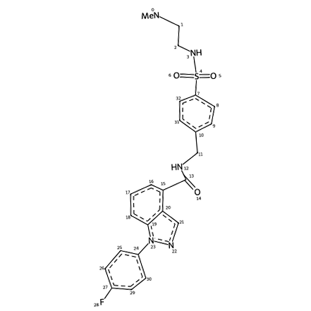 CNCCNS(=O)(=O)c1ccc(CNC(=O)c2cccc3c2cnn3-c2ccc(F)cc2)cc1